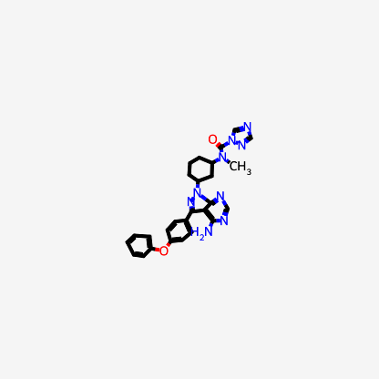 CN(C(=O)n1cncn1)C1CCCC(n2nc(-c3ccc(Oc4ccccc4)cc3)c3c(N)ncnc32)C1